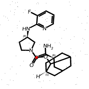 NC(=O)[C@]12CC3CC(C1)C(OC(=O)N1CC[C@@H](Nc4ncccc4F)C1)[C@@H](C3)C2